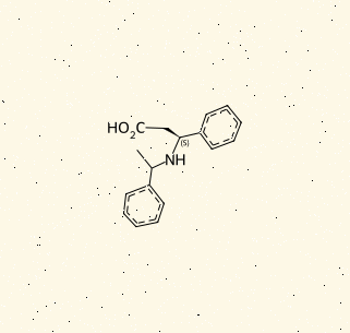 CC(N[C@@H](CC(=O)O)c1ccccc1)c1ccccc1